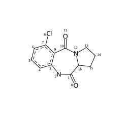 O=C1[N]c2cccc(Cl)c2C(=O)N2CCCC12